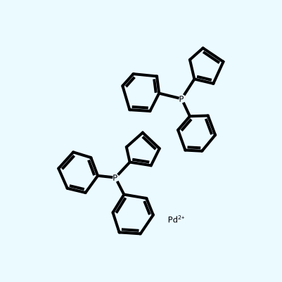 C1=CCC(P(c2ccccc2)c2ccccc2)=C1.C1=CCC(P(c2ccccc2)c2ccccc2)=C1.[Pd+2]